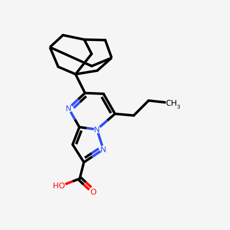 CCCc1cc(C23CC4CC(CC(C4)C2)C3)nc2cc(C(=O)O)nn12